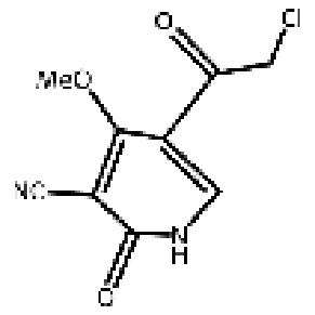 COc1c(C(=O)CCl)c[nH]c(=O)c1C#N